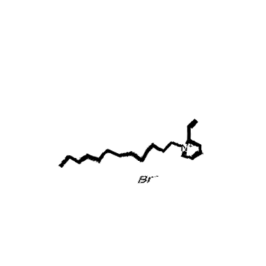 C=Cc1cccc[n+]1CCCCCCCCCCCC.[Br-]